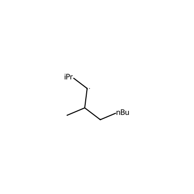 CCCCCC(C)[CH]C(C)C